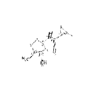 C[C@H]1CC[C@H](NC(=O)C2CC2)C[C@@H]1O